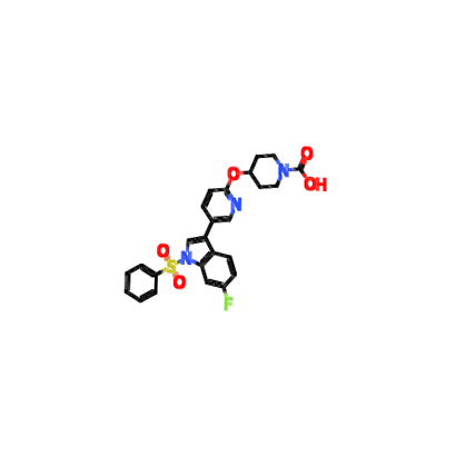 O=C(O)N1CCC(Oc2ccc(-c3cn(S(=O)(=O)c4ccccc4)c4cc(F)ccc34)cn2)CC1